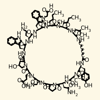 CCCC[C@H]1C(=O)N(C)[C@@H](CCCC)C(=O)N[C@@H](CC(C)C)C(=O)NCCCCC(=O)N[C@@H](Cc2ccc(O)cc2)C(=O)N(C)[C@@H](C)C(=O)N[C@@H](CC(N)=O)C(=O)N2CCC[C@H]2C(=O)N[C@@H](CN)C(=O)N[C@@H](CCC(=O)O)C(=O)N2C[C@H](O)C[C@H]2C(=O)N[C@@H](Cc2c[nH]c3ccccc23)C(=O)N[C@@H](CCN)C(=O)N[C@@H](Cc2cn(CC(=O)O)c3ccccc23)C(=O)N1C